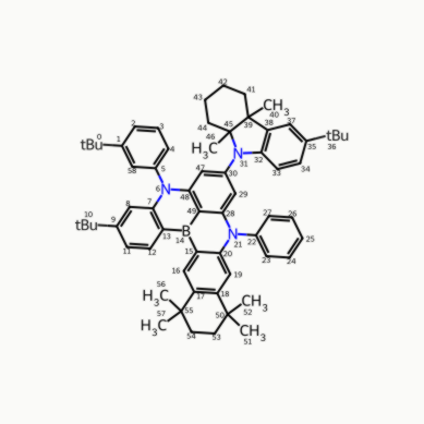 CC(C)(C)c1cccc(N2c3cc(C(C)(C)C)ccc3B3c4cc5c(cc4N(c4ccccc4)c4cc(N6c7ccc(C(C)(C)C)cc7C7(C)CCCCC67C)cc2c43)C(C)(C)CCC5(C)C)c1